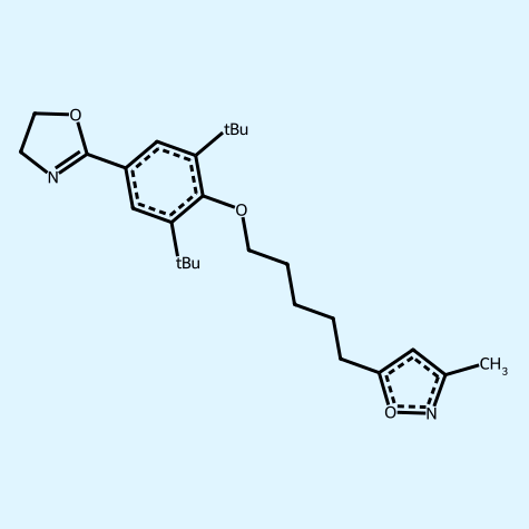 Cc1cc(CCCCCOc2c(C(C)(C)C)cc(C3=NCCO3)cc2C(C)(C)C)on1